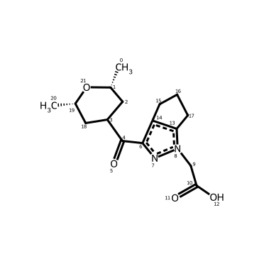 C[C@@H]1CC(C(=O)c2nn(CC(=O)O)c3c2CCC3)C[C@H](C)O1